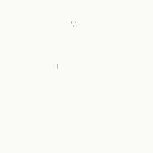 COc1ccccc1OCC(O)COCC1CO1